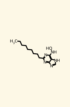 CCCCCCCCCc1nc(NO)c2[nH]cnc2n1